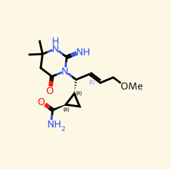 COC/C=C/C([C@@H]1C[C@H]1C(N)=O)N1C(=N)NC(C)(C)CC1=O